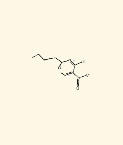 C/C=C(\C(Cl)=N/C(Cl)CCCC)[N+](=O)[O-]